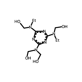 CCN(CO)c1nc(N(CC)CO)nc(N(CO)CO)n1